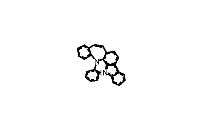 C1=Cc2ccc3c([nH]c4ccccc43)c2N(c2ccccc2)c2ccccc21